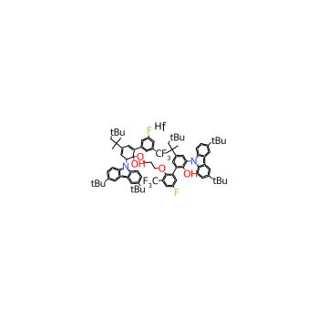 CC(C)(C)CC(C)(C)C1=CC(n2c3ccc(C(C)(C)C)cc3c3cc(C(C)(C)C)ccc32)C(O)(OCCCOc2c(-c3cc(C(C)(C)CC(C)(C)C)cc(-n4c5ccc(C(C)(C)C)cc5c5cc(C(C)(C)C)ccc54)c3O)cc(F)cc2C(F)(F)F)C(c2cc(F)cc(C(F)(F)F)c2)=C1.[Hf]